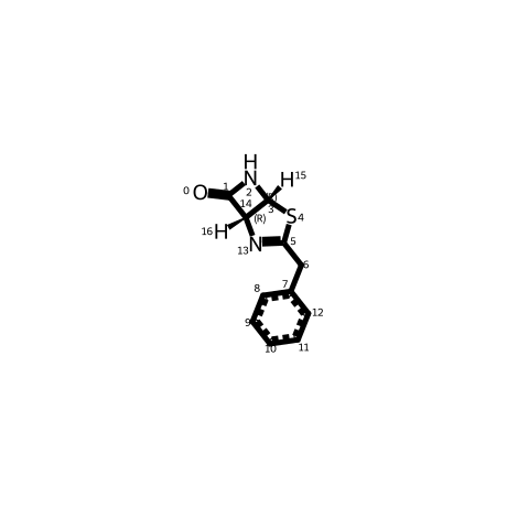 O=C1N[C@@H]2SC(Cc3ccccc3)=N[C@H]12